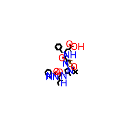 CC[C@H](C)[C@H](NC(=O)[C@H]1CCCCN1C)C(=O)N[C@@H]1C[C@H](c2nc(C(=O)N[C@@H](Cc3ccccc3)C[C@H](C)C(=O)O)cs2)N(C(=O)C(C)(C)C)C1C